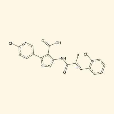 O=C(Nc1csc(-c2ccc(Cl)cc2)c1C(=O)O)/C(F)=C/c1ccccc1Cl